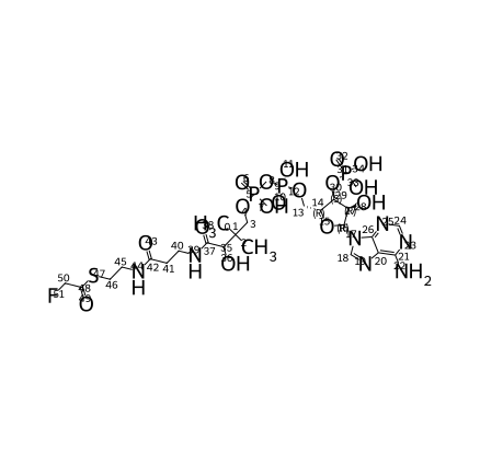 CC(C)(COP(=O)(O)OP(=O)(O)OC[C@H]1O[C@@H](n2cnc3c(N)ncnc32)[C@H](O)[C@@H]1OP(=O)(O)O)C(O)C(=O)NCCC(=O)NCCSC(=O)CF